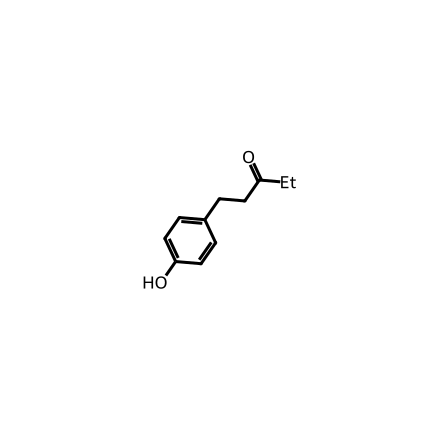 CCC(=O)CCc1ccc(O)cc1